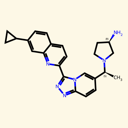 C[C@@H](c1ccc2nnc(-c3ccc4ccc(C5CC5)cc4n3)n2c1)N1CC[C@@H](N)C1